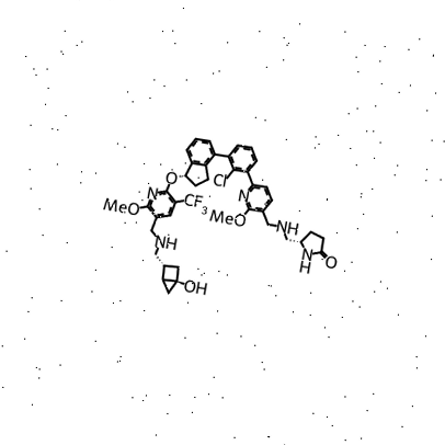 COc1nc(-c2cccc(-c3cccc4c3CC[C@@H]4Oc3nc(OC)c(CNC[C@@H]4C[C@]5(O)CC45)cc3C(F)(F)F)c2Cl)ccc1CNC[C@@H]1CCC(=O)N1